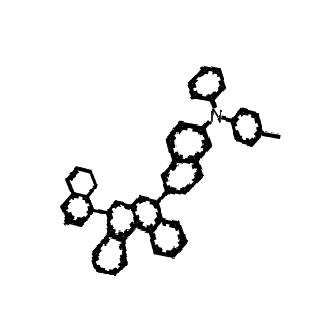 Cc1ccc(N(c2ccccc2)c2ccc3cc(-c4cc5cc(-c6cccc7c6CCC=C7)c6ccccc6c5c5ccccc45)ccc3c2)cc1